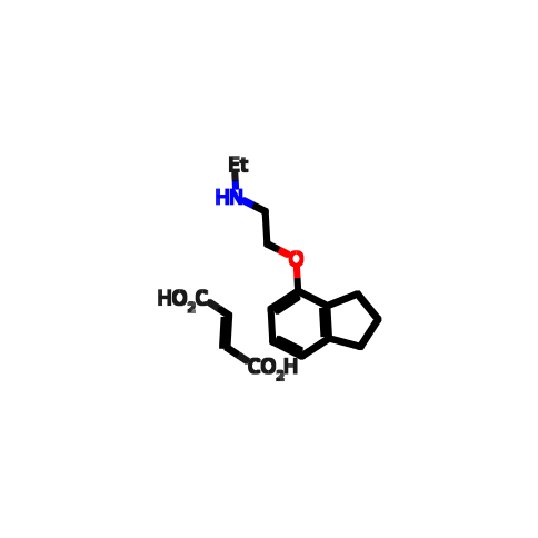 CCNCCOc1cccc2c1CCC2.O=C(O)C=CC(=O)O